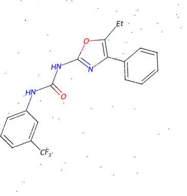 CCc1oc(NC(=O)Nc2cccc(C(F)(F)F)c2)nc1-c1ccccc1